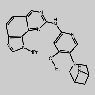 CCOc1cc(Nc2ncc3ccc4ncn(C(C)C)c4c3n2)ncc1N1CC2CC(C1)N2